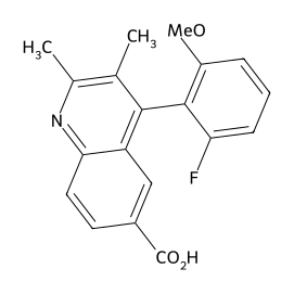 COc1cccc(F)c1-c1c(C)c(C)nc2ccc(C(=O)O)cc12